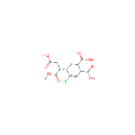 COC(=O)CC(C(=O)OC)C1CC(C(=O)O)C(C(=O)O)C=C1Cl